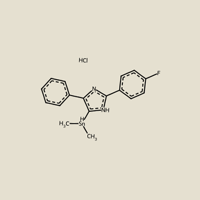 Cl.[CH3][SnH]([CH3])[c]1[nH]c(-c2ccc(F)cc2)nc1-c1ccccc1